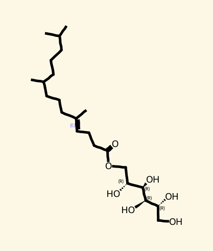 C/C(=C\CCC(=O)OC[C@@H](O)[C@@H](O)[C@H](O)[C@H](O)CO)CCCC(C)CCCC(C)C